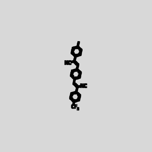 [C-]#[N+]/C(=C\c1ccc(/C=C(\C#N)c2ccc(C)cc2)cc1)c1ccc(C(F)(F)F)cc1